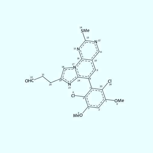 COc1cc(OC)c(Cl)c(-c2cc3cnc(SC)nc3n3cc(CCC=O)nc23)c1Cl